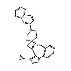 Clc1cnccc1-c1noc(C2CC2)c1C1=CC2(CCN(c3ccc4ncccc4c3)CC2)C1